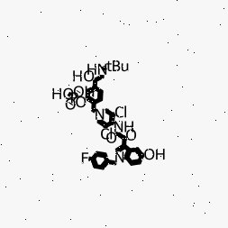 CC(C)(C)NCC(O)c1ccc(C[n+]2cc(Cl)c(NC(=O)C(=O)c3cn(Cc4ccc(F)cc4)c4ccc(O)cc34)c(Cl)c2)c(OP(=O)(O)O)c1